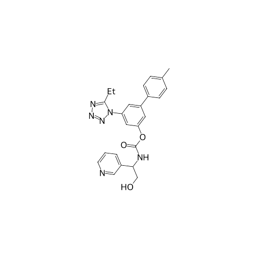 CCc1nnnn1-c1cc(OC(=O)NC(CO)c2cccnc2)cc(-c2ccc(C)cc2)c1